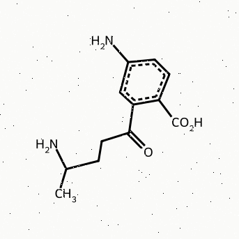 CC(N)CCC(=O)c1cc(N)ccc1C(=O)O